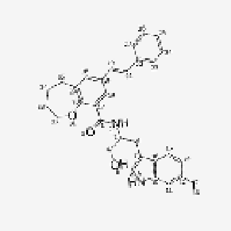 O=C(NC(CO)Cc1c[nH]c2cc(F)ccc12)c1cc(/C=C/c2ccccc2)cc2c1OCCCC2